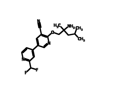 CC(C)CC(C)(N)COc1ncc(-c2ccnc(C(F)F)c2)cc1C#N